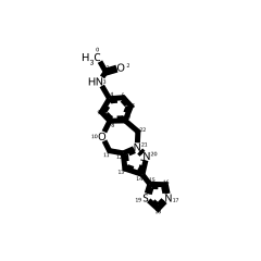 CC(=O)Nc1ccc2c(c1)OCc1cc(-c3cncs3)nn1C2